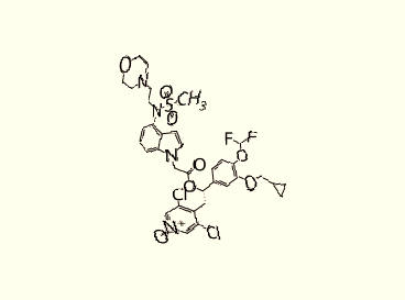 CS(=O)(=O)N(CCN1CCOCC1)c1cccc2c1ccn2CC(=O)O[C@@H](Cc1c(Cl)c[n+]([O-])cc1Cl)c1ccc(OC(F)F)c(OCC2CC2)c1